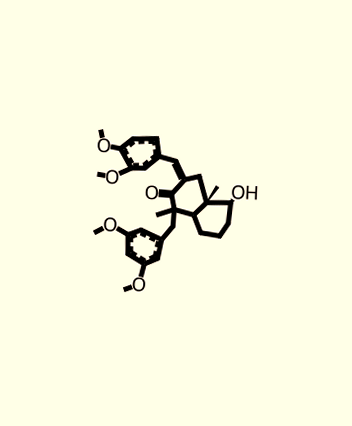 COc1cc(CC2(C)C(=O)/C(=C\c3ccc(OC)c(OC)c3)C[C@@]3(C)C2CCC[C@@H]3O)cc(OC)c1